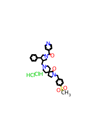 CS(=O)(=O)c1ccc(CN2CCC3(CCN(CC4CN(C(=O)c5ccncc5)CC4c4ccccc4)CC3)C2=O)cc1.Cl.Cl